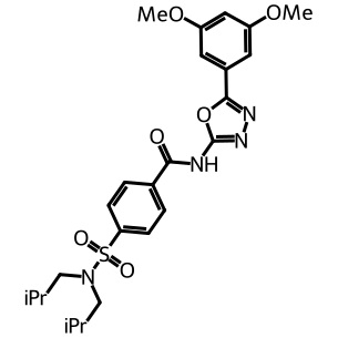 COc1cc(OC)cc(-c2nnc(NC(=O)c3ccc(S(=O)(=O)N(CC(C)C)CC(C)C)cc3)o2)c1